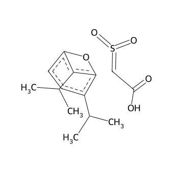 CC(C)c1ccc2c(C(C)C)c1O2.O=C(O)C=S(=O)=O